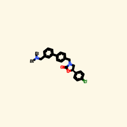 CCN(CC)Cc1cccc(-c2ccc(CN3C[C@@H](c4ccc(Cl)cc4)OC3=O)cc2)c1